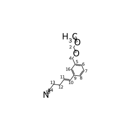 COCOCc1cccc(C=CCCC#N)c1